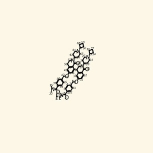 CCNC(=O)c1ccc(COc2ccc3c(c2)CCN(C2CCN(C4CCC4)CC2)C3=O)cc1.CN(C)C(=O)c1ccc(COc2ccc3c(c2)CCN(C2CCN(C4CCC4)CC2)C3=O)cc1